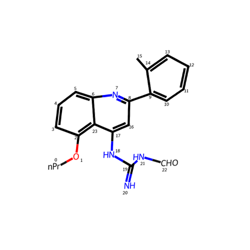 CCCOc1cccc2nc(-c3ccccc3C)cc(NC(=N)NC=O)c12